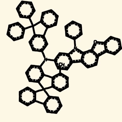 Cc1cccc2c1-c1c(N(c3ccc4c(c3)-c3ccccc3C4(c3ccccc3)c3ccccc3)c3ccc4c5ccc6c7ccccc7oc6c5n(-c5ccccc5)c4c3)cccc1C21c2ccccc2-c2ccccc21